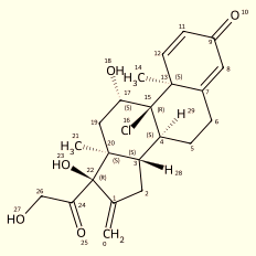 C=C1C[C@H]2[C@@H]3CCC4=CC(=O)C=C[C@]4(C)[C@@]3(Cl)[C@@H](O)C[C@]2(C)[C@@]1(O)C(=O)CO